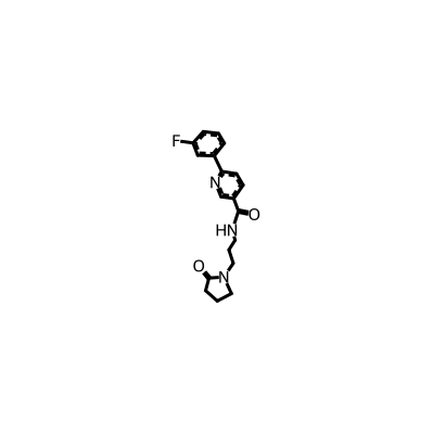 O=C(NCCCN1CCCC1=O)c1ccc(-c2cccc(F)c2)nc1